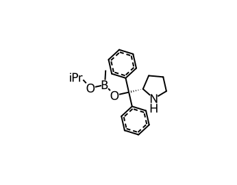 CB(OC(C)C)OC(c1ccccc1)(c1ccccc1)[C@@H]1CCCN1